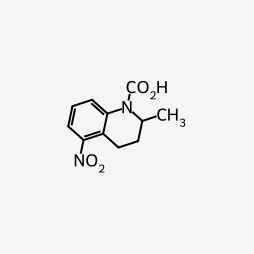 CC1CCc2c(cccc2[N+](=O)[O-])N1C(=O)O